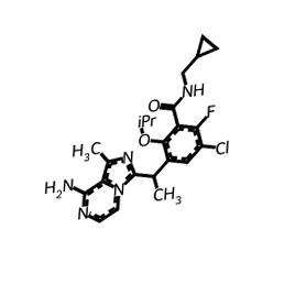 Cc1nc(C(C)c2cc(Cl)c(F)c(C(=O)NCC3CC3)c2OC(C)C)n2ccnc(N)c12